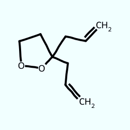 C=CCC1(CC=C)CCOO1